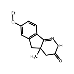 CCOc1ccc2c(c1)CC1(C)CC(=O)NN=C21